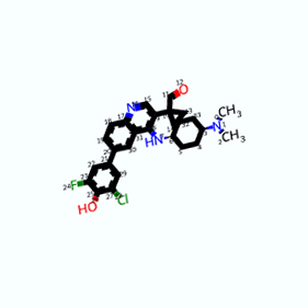 CN(C)[C@H]1CC[C@H](Nc2c(C3(C=O)CC3)cnc3ccc(-c4cc(F)c(O)c(Cl)c4)cc23)CC1